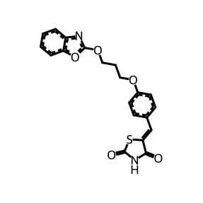 O=C1NC(=O)C(=Cc2ccc(OCCCOc3nc4ccccc4o3)cc2)S1